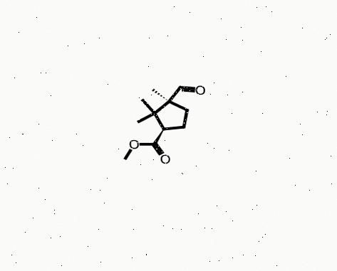 COC(=O)[C@@H]1CC[C@](C)(C=O)C1(C)C